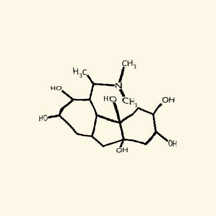 CC(C1C(O)C(O)CC2CC3(O)CC(O)C(O)CC3(O)C21)N(C)C